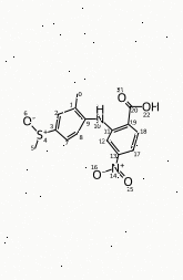 Cc1cc([S+](C)[O-])ccc1Nc1cc([N+](=O)[O-])ccc1C(=O)O